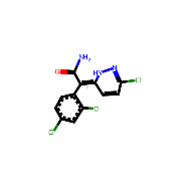 NC(=O)/C(=C1/C=CC(Cl)=NN1)c1ccc(Cl)cc1Cl